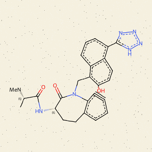 CN[C@@H](C)C(=O)N[C@H]1CCc2ccc#cc2N(Cc2c(O)ccc3c(-c4nnn[nH]4)cccc23)C1=O